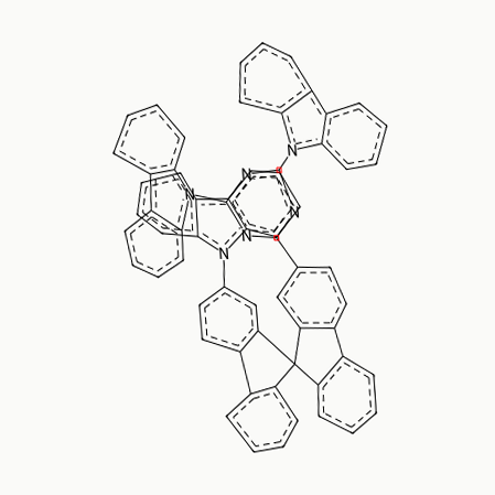 c1ccc2c(c1)-c1ccc(-c3nc(-n4c5ccccc5c5ccccc54)nc(-n4c5ccccc5c5ccccc54)n3)cc1C21c2ccccc2-c2ccc(-n3c4ccccc4c4ccccc43)cc21